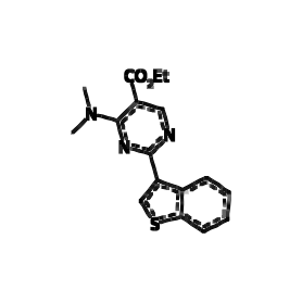 CCOC(=O)c1cnc(-c2csc3ccccc23)nc1N(C)C